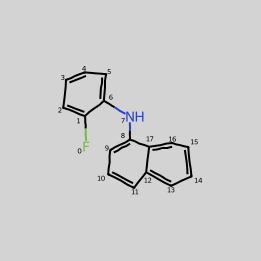 Fc1ccccc1Nc1cccc2ccccc12